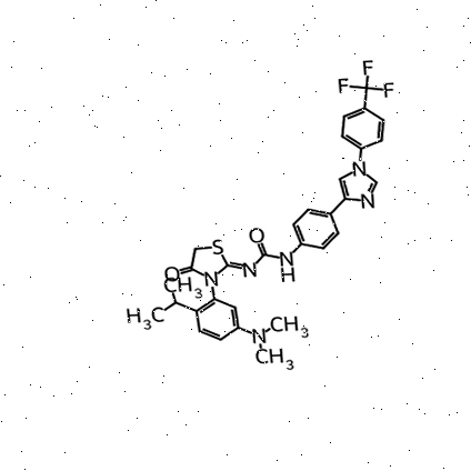 CC(C)c1ccc(N(C)C)cc1N1C(=O)CS/C1=N\C(=O)Nc1ccc(-c2cn(-c3ccc(C(F)(F)F)cc3)cn2)cc1